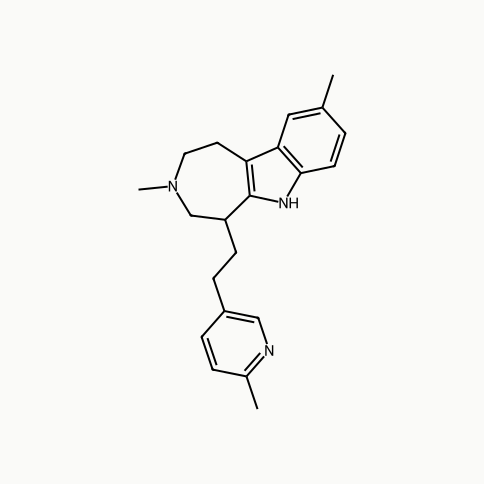 Cc1ccc2[nH]c3c(c2c1)CCN(C)CC3CCc1ccc(C)nc1